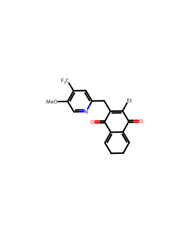 CCC1=C(Cc2cc(C(F)(F)F)c(OC)cn2)C(=O)C2=CCCC=C2C1=O